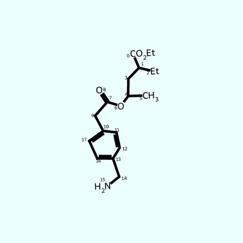 CCOC(=O)C(CC)CC(C)OC(=O)Cc1ccc(CN)cc1